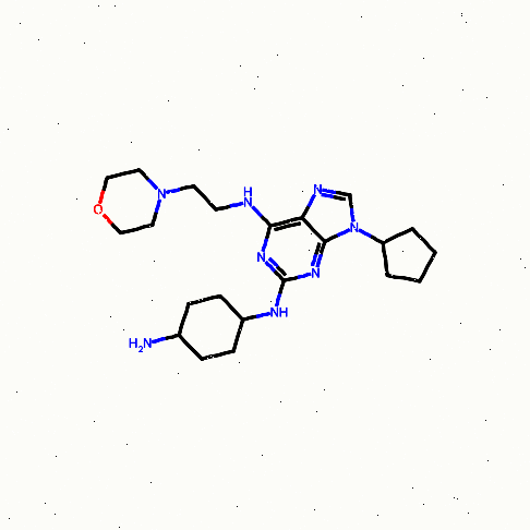 NC1CCC(Nc2nc(NCCN3CCOCC3)c3ncn(C4CCCC4)c3n2)CC1